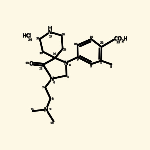 Cc1cc(N2CN(CCN(C)C)C(=O)C23CCNCC3)ccc1C(=O)O.Cl